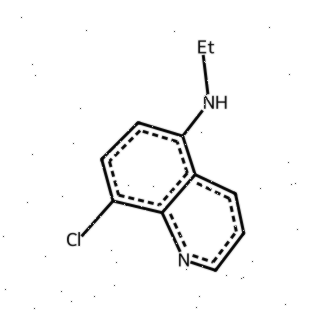 CCNc1ccc(Cl)c2ncccc12